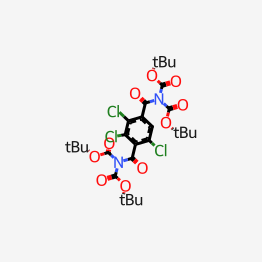 CC(C)(C)OC(=O)N(C(=O)OC(C)(C)C)C(=O)c1cc(Cl)c(C(=O)N(C(=O)OC(C)(C)C)C(=O)OC(C)(C)C)c(Cl)c1Cl